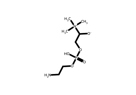 C[N+](C)(C)C([O-])COP(=O)(O)OCCN